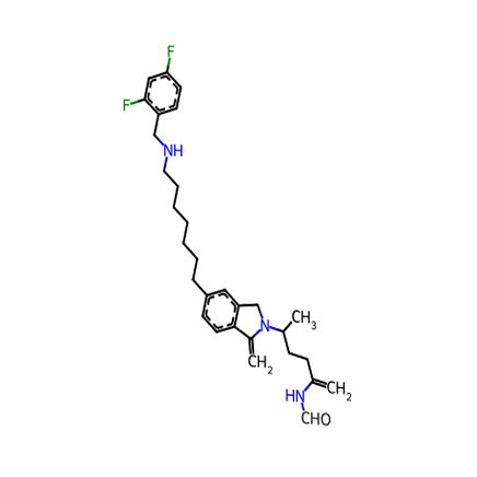 C=C(CCC(C)N1Cc2cc(CCCCCCCNCc3ccc(F)cc3F)ccc2C1=C)NC=O